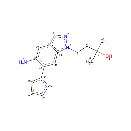 CC(C)(O)CCn1ncc2cc(N)c(-c3ccsc3)cc21